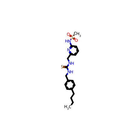 CCCCc1ccc(CNC(=S)NCc2cccc(NS(C)(=O)=O)n2)cc1